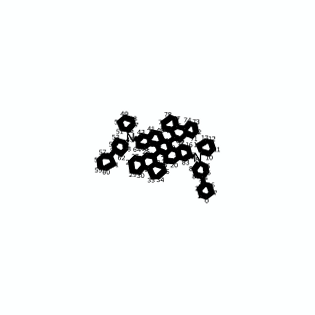 c1ccc(-c2ccc(N(c3ccccc3)c3ccc4c(ccc5c(-c6cc7ccccc7c7ccccc67)c6c(ccc7cc(N(c8ccccc8)c8ccc(-c9ccccc9)cc8)ccc76)c(-c6cc7ccccc7c7ccccc67)c54)c3)cc2)cc1